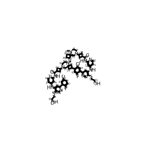 CN1CCN(C2CC(C(=O)Nc3cc(Nc4cc(-c5cc(Cl)c(C6CC7(C6)CN(C6CC(C(=O)Nc8cc(Nc9cc(-c%10cc(Cl)ccc%10F)nnc9SCCO)ccn8)C6)CCN7C)cc5F)nnc4SCCO)ccn3)C2)CC12CCC2